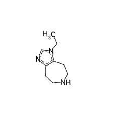 CCn1cnc2c1CCNCC2